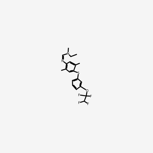 CCN(C)/C=N\c1cc(C)c(Sc2cccc(OC(F)(F)C(F)F)c2)cc1C